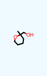 CC1(CO)CCCCO1